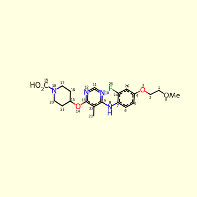 COCCOc1ccc(Nc2ncnc(OC3CCN(C(=O)O)CC3)c2C)c(F)c1